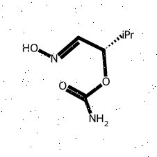 CC(C)[C@@H](C=NO)OC(N)=O